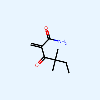 C=C(C(N)=O)C(=O)C(C)(C)CC